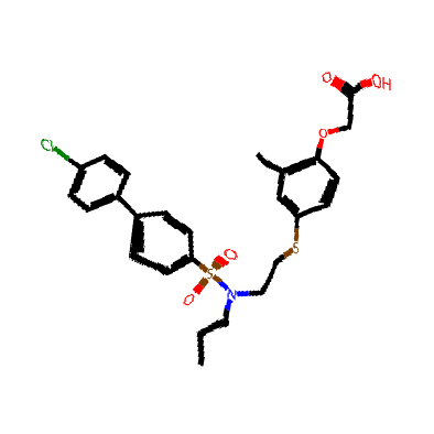 CCCN(CCSc1ccc(OCC(=O)O)c(C)c1)S(=O)(=O)c1ccc(-c2ccc(Cl)cc2)cc1